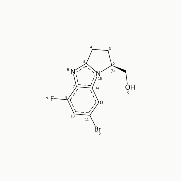 OC[C@@H]1CCc2nc3c(F)cc(Br)cc3n21